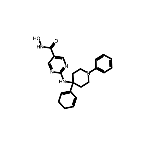 O=C(NO)c1cnc(NC2(C3=CCCC=C3)CCN(c3ccccc3)CC2)nc1